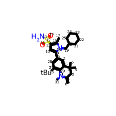 C=C1CC(C)(C)c2cc(-c3cc(S(N)(=O)=O)c(C)n3CC3CCCCC3)cc(C(C)(C)C)c2N1C